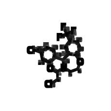 O=C(CCl)N1CCOc2ccc(C(F)(F)F)cc2C1c1ccc(Cl)cc1